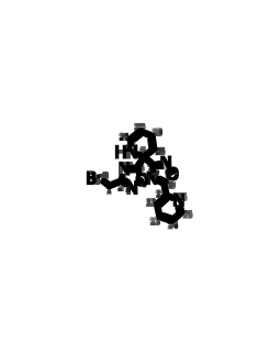 BrCc1noc(C2(c3noc(-c4ccccn4)n3)C=CC=CN2)n1